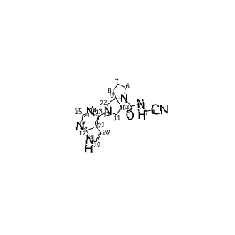 N#CCNC(=O)N1CCCC12CCN(c1ncnc3[nH]ccc13)C2